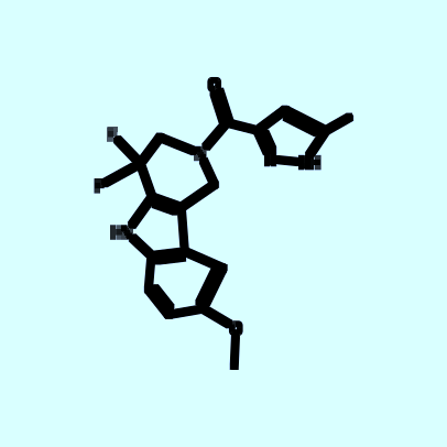 COc1ccc2[nH]c3c(c2c1)CN(C(=O)c1cc(C)[nH]n1)CC3(F)F